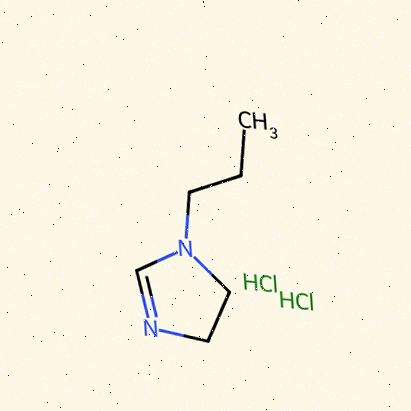 CCCN1C=NCC1.Cl.Cl